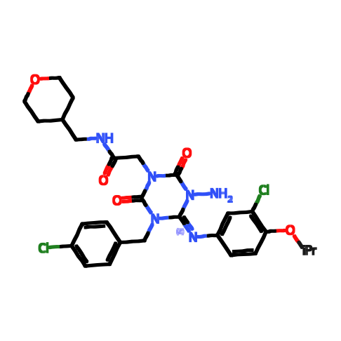 CC(C)Oc1ccc(/N=c2\n(N)c(=O)n(CC(=O)NCC3CCOCC3)c(=O)n2Cc2ccc(Cl)cc2)cc1Cl